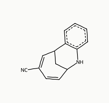 N#CC1=CC2CC(C=C1)Nc1ccccc12